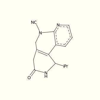 CC(C)C1NC(=O)CC2=C1c1cccnc1N(C#N)C2